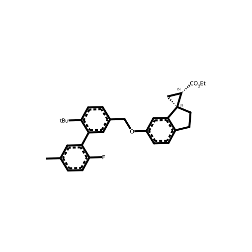 CCOC(=O)[C@H]1C[C@@]12CCc1ccc(OCc3ccc(C(C)(C)C)c(-c4cc(C)ccc4F)c3)cc12